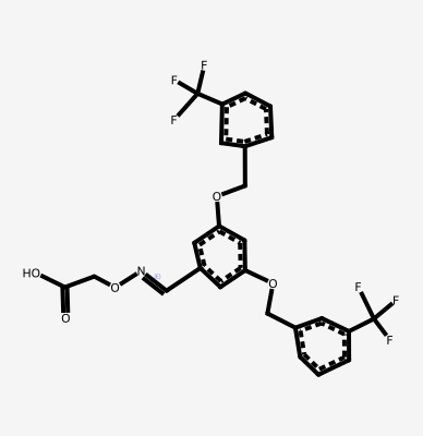 O=C(O)CO/N=C/c1cc(OCc2cccc(C(F)(F)F)c2)cc(OCc2cccc(C(F)(F)F)c2)c1